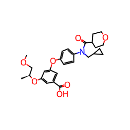 COC[C@H](C)Oc1cc(Oc2ccc(N(CC3CC3)C(=O)C3CCOCC3)cc2)cc(C(=O)O)c1